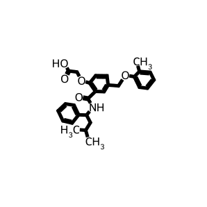 Cc1ccccc1OCc1ccc(OCC(=O)O)c(C(=O)NC(CC(C)C)c2ccccc2)c1